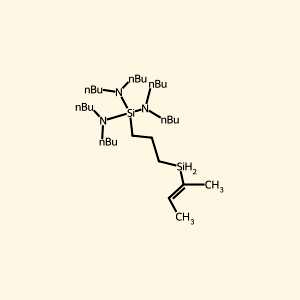 CC=C(C)[SiH2]CCC[Si](N(CCCC)CCCC)(N(CCCC)CCCC)N(CCCC)CCCC